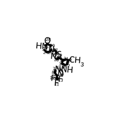 Cc1cc(Nc2nccc(C(F)(F)F)n2)cc(-c2cnc(CN3CCCNC(=O)C3)s2)c1